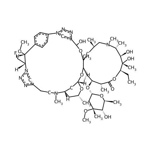 CC[C@H]1OC(=O)[C@H](C)[C@@H](O[C@H]2C[C@@](C)(OC)[C@@H](O)[C@H](C)O2)[C@H](I)[C@H]2O[C@H]3C[C@H](C[C@@H](C)O3)N(C)CCc3cn(nn3)[C@H](CF)[C@H](OC)c3ccc(cc3)-n3cc(nn3)C(O)O[C@]2(C)C[C@@H](C)CN(C)[C@H](C)[C@@H](O)[C@]1(C)O